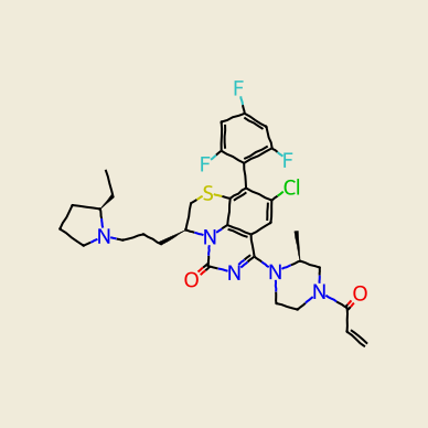 C=CC(=O)N1CCN(c2nc(=O)n3c4c(c(-c5c(F)cc(F)cc5F)c(Cl)cc24)SC[C@@H]3CCCN2CCC[C@H]2CC)[C@@H](C)C1